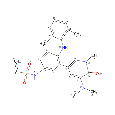 C=CS(=O)(=O)Nc1ccc(Nc2c(C)cccc2C)c(-c2cc(N(C)C)c(=O)n(C)c2)c1